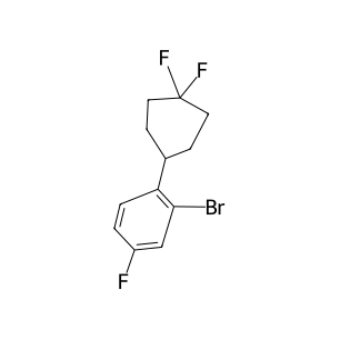 Fc1ccc(C2CCC(F)(F)CC2)c(Br)c1